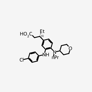 CCCN(c1ccc([C@@H](CC)CC(=O)O)cc1Nc1ccc(Cl)cc1)C1CCOCC1